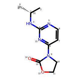 CC(C)[C@H](C)Nc1nccc(N2CCOC2=O)n1